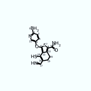 Bc1ccc(Oc2sc(C(N)=O)c3c2C(S)=C(C=N)CC3)cn1